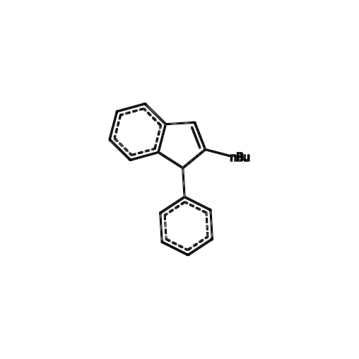 CCCCC1=Cc2ccccc2C1c1ccccc1